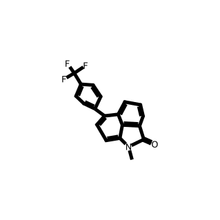 CN1C(=O)c2cccc3c(-c4ccc(C(F)(F)F)cc4)ccc1c23